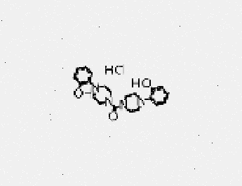 Cl.O=C(N1CCN(c2ccccc2O)CC1)N1CCN(c2ccccc2O)CC1